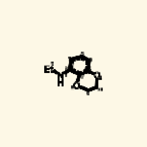 CCNc1cccc2c1OCCO2